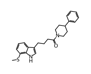 CSc1cccc2c(CCCC(=O)N3CCC(c4ccccc4)CC3)c[nH]c12